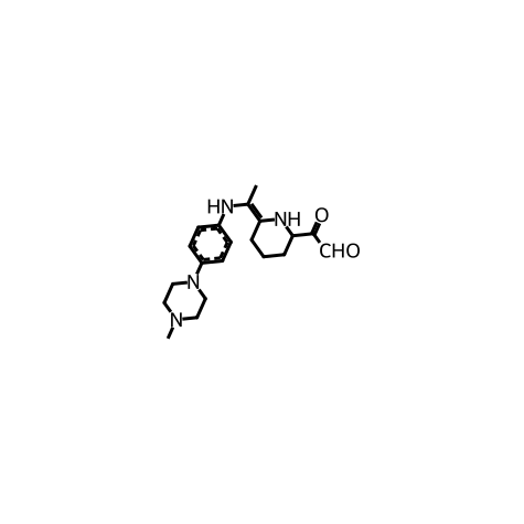 CC(Nc1ccc(N2CCN(C)CC2)cc1)=C1CCCC(C(=O)C=O)N1